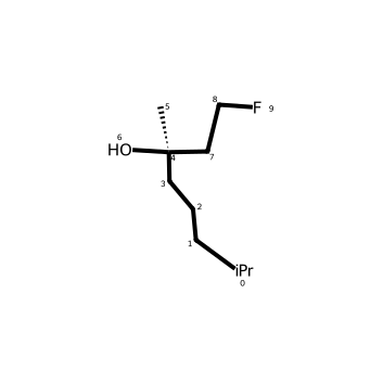 CC(C)CCC[C@@](C)(O)CCF